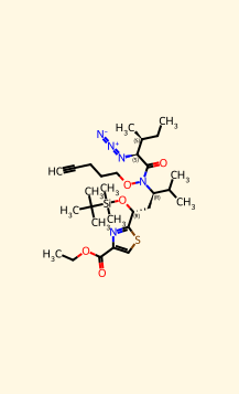 C#CCCCON(C(=O)[C@@H](N=[N+]=[N-])[C@@H](C)CC)[C@H](C[C@@H](O[Si](C)(C)C(C)(C)C)c1nc(C(=O)OCC)cs1)C(C)C